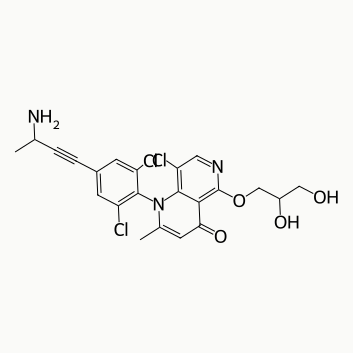 Cc1cc(=O)c2c(OCC(O)CO)ncc(Cl)c2n1-c1c(Cl)cc(C#CC(C)N)cc1Cl